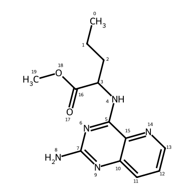 CCCC(Nc1nc(N)nc2cccnc12)C(=O)OC